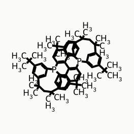 CC(C)(C)c1cc2cc(c1)C(C)(C)CC(C)(C)c1cc(cc(C(C)(C)C)c1)P2c1ccc2ccccc2c1-c1c(P2c3cc(C(C)(C)C)cc(c3)C(C)(C)CC(C)(C)c3cc2cc(C(C)(C)C)c3)ccc2ccccc12